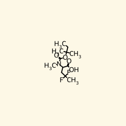 CCC(C)(C)OC(=O)N(C)C(CC(C)(F)F)C(=O)O